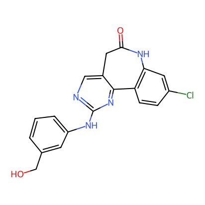 O=C1Cc2cnc(Nc3cccc(CO)c3)nc2-c2ccc(Cl)cc2N1